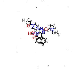 C=CC(=O)N1CCN(c2nc(OC[C@@H]3CCCN3C)nc3c2NC(=O)C2(CCCc4ccccc42)C3)[C@@H](CO)C1